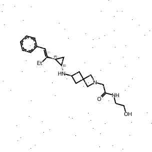 CC/C(=C\c1ccccc1)[C@H]1C[C@@H]1NC1CC2(C1)CN(CC(=O)NCCO)C2